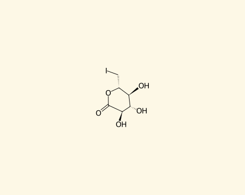 O=C1O[C@H](CI)[C@@H](O)[C@H](O)[C@H]1O